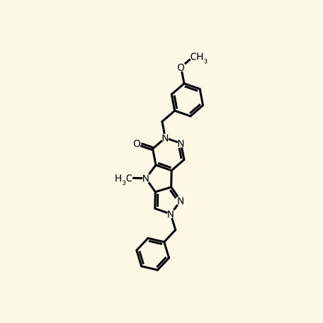 COc1cccc(Cn2ncc3c4nn(Cc5ccccc5)cc4n(C)c3c2=O)c1